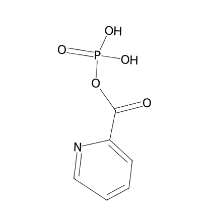 O=C(OP(=O)(O)O)c1ccccn1